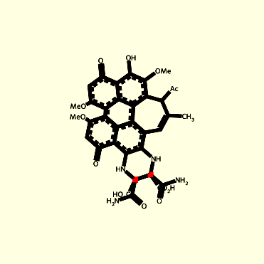 COc1c(O)c2c(=O)cc(OC)c3c4c(OC)cc(=O)c5c(NC(CC(N)=O)C(=O)O)c(NC(CC(N)=O)C(=O)O)c6c(c(c1C(C(C)=O)C(C)=C6)c23)c54